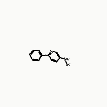 CC(C)Nc1ccc(-c2ccccc2)nc1